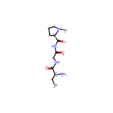 CC(=O)N1CCC[C@@H]1C(=O)NC(=O)CNC(=O)[C@@H](N)CC(C)C